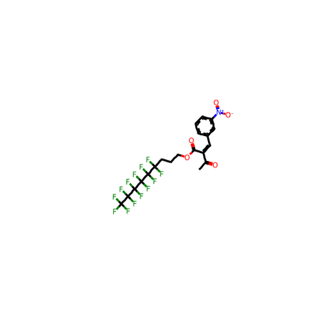 CC(=O)C(=Cc1cccc([N+](=O)[O-])c1)C(=O)OCCCC(F)(F)C(F)(F)C(F)(F)C(F)(F)C(F)(F)C(F)(F)F